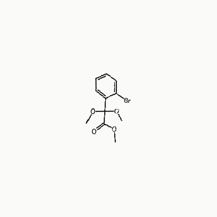 COC(=O)C(OC)(OC)c1ccccc1Br